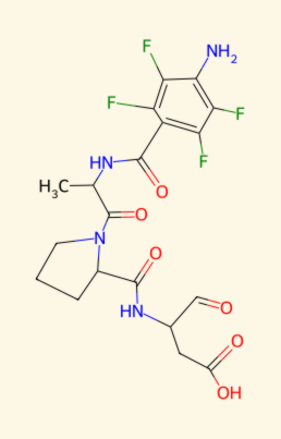 CC(NC(=O)c1c(F)c(F)c(N)c(F)c1F)C(=O)N1CCCC1C(=O)NC(C=O)CC(=O)O